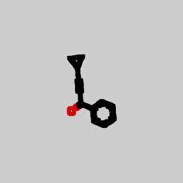 O=C(C#CC1CC1)c1ccccc1